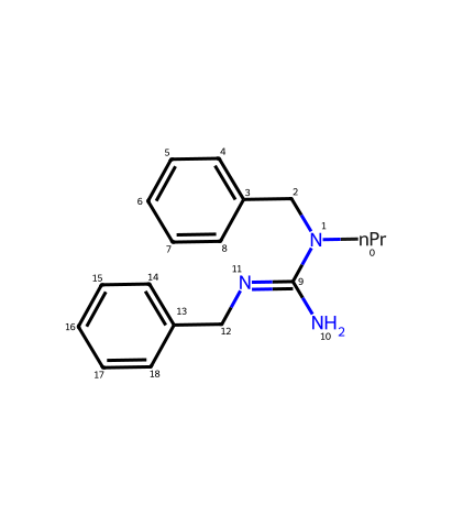 [CH2]CCN(Cc1ccccc1)C(N)=NCc1ccccc1